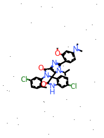 COc1cc(N(C)C)ccc1-c1nc2c(n1C(C)C)C1(C(=O)Nc3cc(Cl)ccc31)N(c1cc(Cl)ccc1C)C2=O